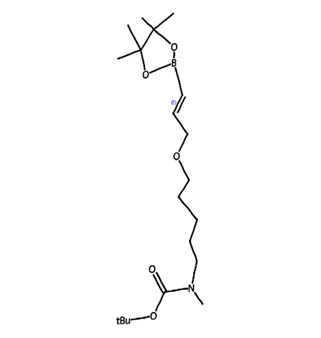 CN(CCCCCOC/C=C/B1OC(C)(C)C(C)(C)O1)C(=O)OC(C)(C)C